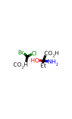 CCC(N)(O)C(=O)O.O=C(O)C(Cl)Br